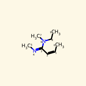 C/C=C\C(=N\C)N(C)CC